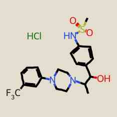 CC(C(O)c1ccc(NS(C)(=O)=O)cc1)N1CCN(c2cccc(C(F)(F)F)c2)CC1.Cl